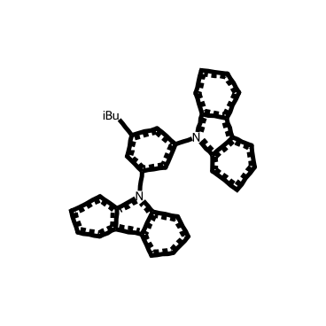 CCC(C)c1cc(-n2c3ccccc3c3ccccc32)cc(-n2c3ccccc3c3ccccc32)c1